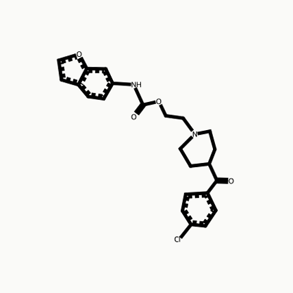 O=C(Nc1ccc2ccoc2c1)OCCN1CCC(C(=O)c2ccc(Cl)cc2)CC1